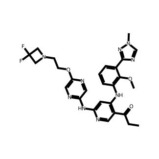 CCC(=O)c1cnc(Nc2cnc(OCCN3CC(F)(F)C3)cn2)cc1Nc1cccc(-c2ncn(C)n2)c1OC